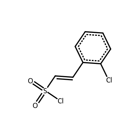 O=S(=O)(Cl)C=Cc1ccccc1Cl